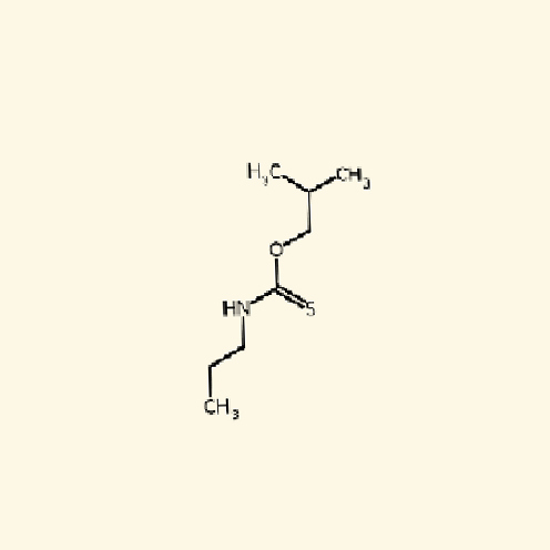 CCCNC(=S)OCC(C)C